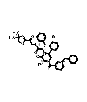 CC(C)[C@@H]1C(=O)N([C@@H](Cc2ccccc2)C(=O)NCC(=O)C2=NC(C)(C)CO2)C(c2ccccc2)=CN1C(=O)c1ccc[n+](Cc2ccccc2)c1.[Br-]